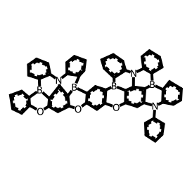 c1ccc(N2c3ccccc3B3c4ccccc4N4c5ccccc5B5c6cc7c(cc6Oc6cc2c3c4c65)Oc2cc3c4c5c2B7c2ccccc2N5c2ccccc2B4c2ccccc2O3)cc1